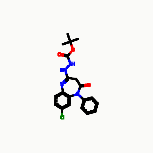 CC(C)(C)OC(=O)NNC1=Nc2ccc(Cl)cc2N(c2ccccc2)C(=O)C1